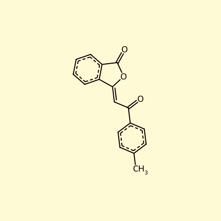 Cc1ccc(C(=O)C=C2OC(=O)c3ccccc32)cc1